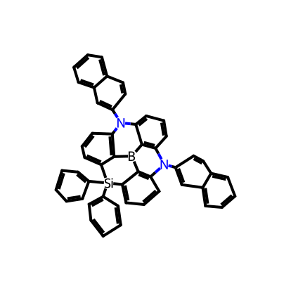 c1ccc([Si]2(c3ccccc3)c3cccc4c3B3c5c(cccc5N(c5ccc6ccccc6c5)c5cccc2c53)N4c2ccc3ccccc3c2)cc1